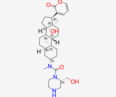 CN(C(=O)N1CCNC[C@H]1CO)[C@H]1CC[C@@]2(C)[C@H](CC[C@@H]3[C@@H]2CC[C@]2(C)[C@H](c4cccoc4=O)CC[C@]32O)C1